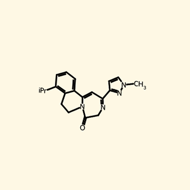 CC(C)c1cccc2c1CCN1C(=O)CN=C(c3ccn(C)n3)C=C21